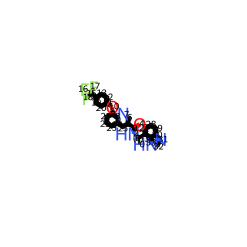 C[C@@H](NC(=O)c1cnc2c(Oc3ccc(C(F)(F)F)cc3)cccc2c1)c1cccc2nc[nH]c12